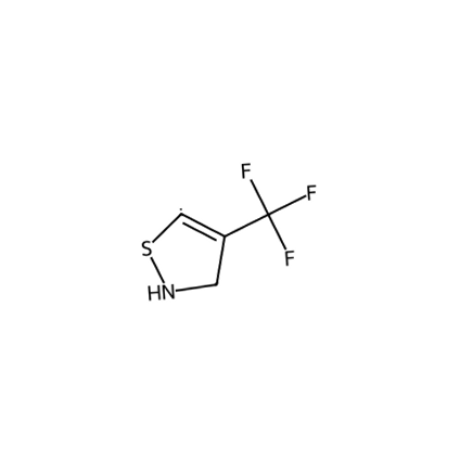 FC(F)(F)C1=[C]SNC1